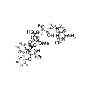 COOP(=O)(OP(=O)(O)OCC(OF)C(O)[C@@H]1CC1n1cnc2c(N)nc(Cl)nc21)OP(=O)(NC(C(=O)OC1CCCCC1)C(C)C)Oc1ccccc1